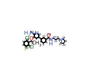 CC(Oc1cc(-c2cccc(C(=O)NCCCN3CCCC3)c2)cnc1N)c1c(Cl)ccc(F)c1Cl